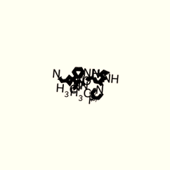 C[C@@H]1CN(Cc2cc(C(=O)Nc3cccc(C4(c5nncn5C)CC(CC#N)C4)c3)nc3cc[nH]c23)CC[C@@H]1F